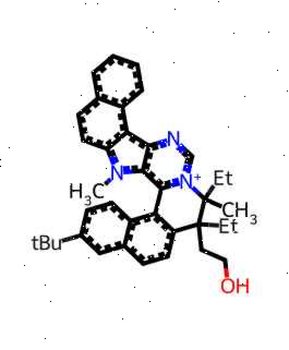 CCC1(CCO)c2ccc3cc(C(C)(C)C)ccc3c2-c2c3c(nc[n+]2C1(C)CC)c1c2ccccc2ccc1n3C